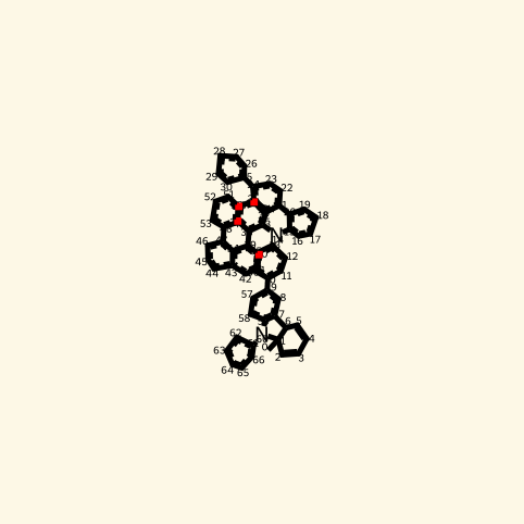 CC12C=CC=CC1c1cc(-c3ccc(N(c4ccccc4-c4ccc(-c5ccccc5)cc4)c4ccccc4-c4cccc5cccc(-c6ccccc6)c45)cc3)ccc1N2c1ccccc1